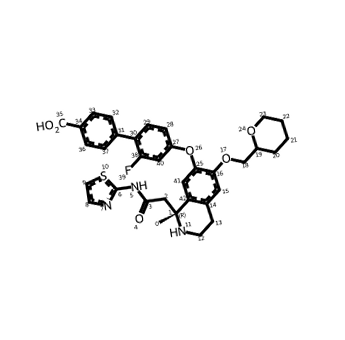 C[C@]1(CC(=O)Nc2nccs2)NCCc2cc(OCC3CCCCO3)c(Oc3ccc(-c4ccc(C(=O)O)cc4)c(F)c3)cc21